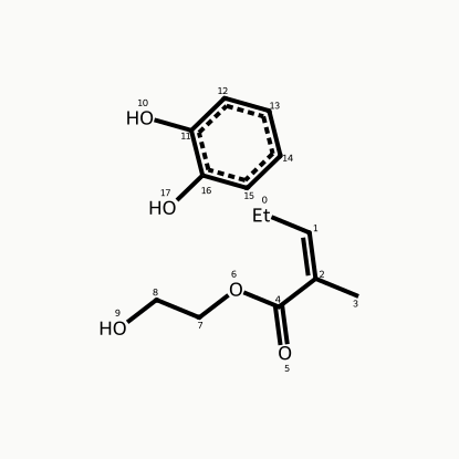 CCC=C(C)C(=O)OCCO.Oc1ccccc1O